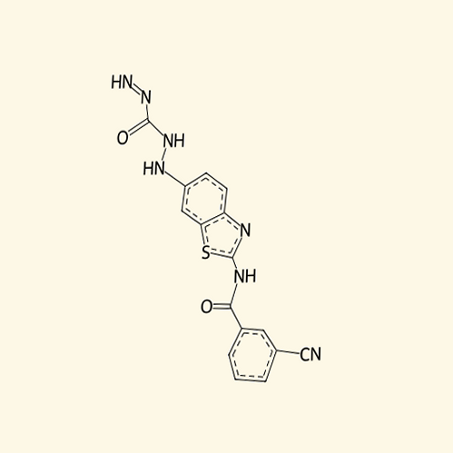 N#Cc1cccc(C(=O)Nc2nc3ccc(NNC(=O)N=N)cc3s2)c1